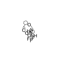 FC(F)(F)C1N[C@]2(CCCN3CCOC4CCCCC4C4CCC(CC4)OC[C@H]32)CO1